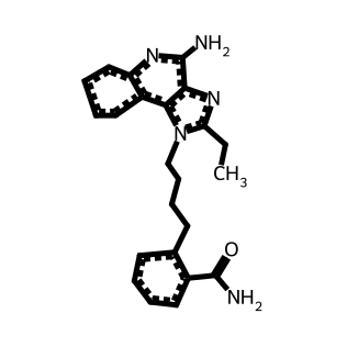 CCc1nc2c(N)nc3ccccc3c2n1CCCCc1ccccc1C(N)=O